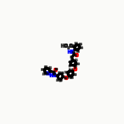 O=C(Cc1ccc(Oc2ccc(O[C@H]3CC[C@@H](NC(=O)c4ccccn4)CC3)cc2)cc1)Nc1ccccc1C(=O)O